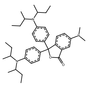 CCC(C)N(c1ccc(C2(c3ccc(N(C(C)CC)C(C)CC)cc3)OC(=O)c3cc(N(C)C)ccc32)cc1)C(C)CC